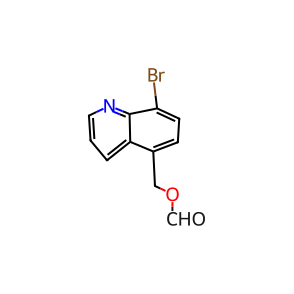 O=COCc1ccc(Br)c2ncccc12